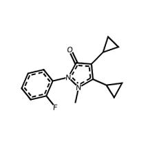 Cn1c(C2CC2)c(C2CC2)c(=O)n1-c1ccccc1F